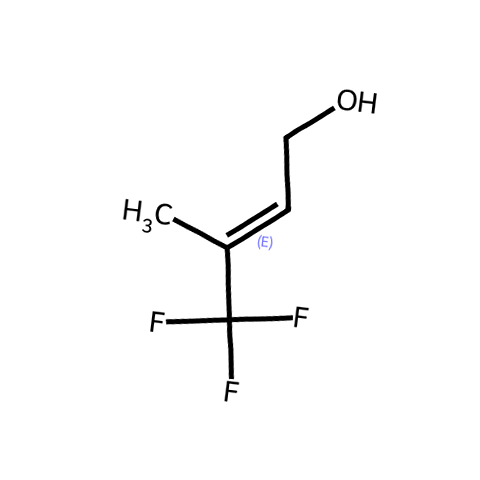 C/C(=C\CO)C(F)(F)F